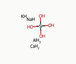 O[Si](O)(O)O.[AlH3].[CaH2].[KH].[NaH]